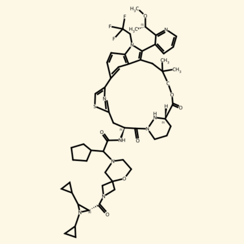 CO[C@@H](C)c1ncccc1-c1c2c3cc(ccc3n1CC(F)(F)F)-c1csc(n1)C[C@H](NC(=O)C(C1CCCC1)N1CCOC3(CN(C(=O)[C@H]4C(C5CC5)N4C4CC4)C3)C1)C(=O)N1CCC[C@H](N1)C(=O)OCC(C)(C)C2